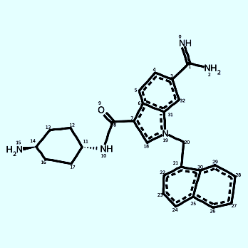 N=C(N)c1ccc2c(C(=O)N[C@H]3CC[C@H](N)CC3)cn(Cc3cccc4ccccc34)c2c1